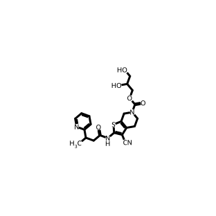 CC(CC(=O)Nc1sc2c(c1C#N)CCN(C(=O)OCC(O)CO)C2)c1ccccn1